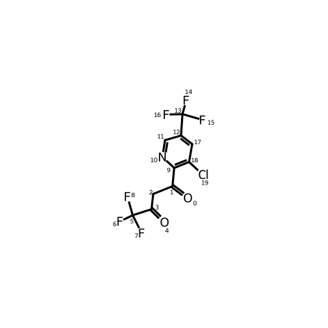 O=C(CC(=O)C(F)(F)F)c1ncc(C(F)(F)F)cc1Cl